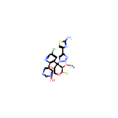 CO[C@H]1[C@@H](S)O[C@H](CO)[C@H](O)C1(c1cc(Cl)cnc1-c1cncnc1)n1cc(-c2csc(N)n2)nn1